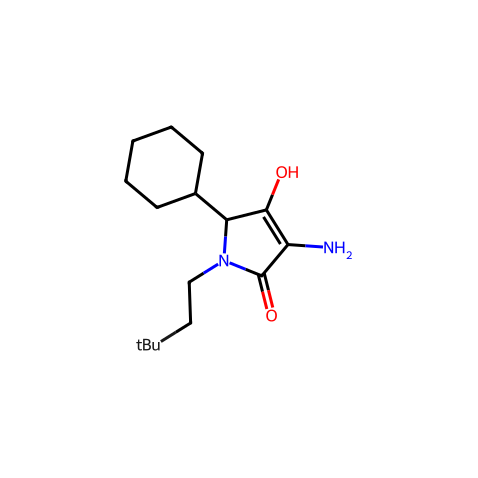 CC(C)(C)CCN1C(=O)C(N)=C(O)C1C1CCCCC1